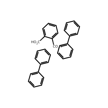 O=C(O)c1ccccc1C(=O)O.c1ccc(-c2ccccc2)cc1.c1ccc(-c2ccccc2)cc1